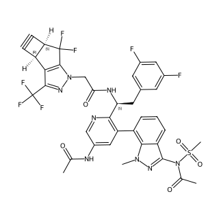 CC(=O)Nc1cnc([C@H](Cc2cc(F)cc(F)c2)NC(=O)Cn2nc(C(F)(F)F)c3c2C(F)(F)[C@@H]2C#C[C@H]32)c(-c2cccc3c(N(C(C)=O)S(C)(=O)=O)nn(C)c23)c1